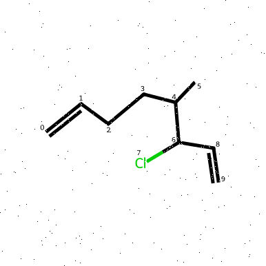 C=CCCC(C)C(Cl)C=C